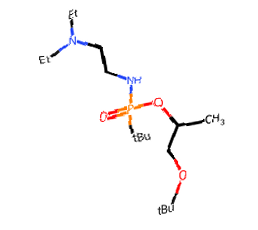 CCN(CC)CCNP(=O)(OC(C)COC(C)(C)C)C(C)(C)C